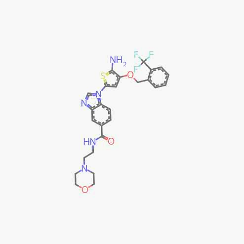 Nc1sc(-n2cnc3cc(C(=O)NCCN4CCOCC4)ccc32)cc1OCc1ccccc1C(F)(F)F